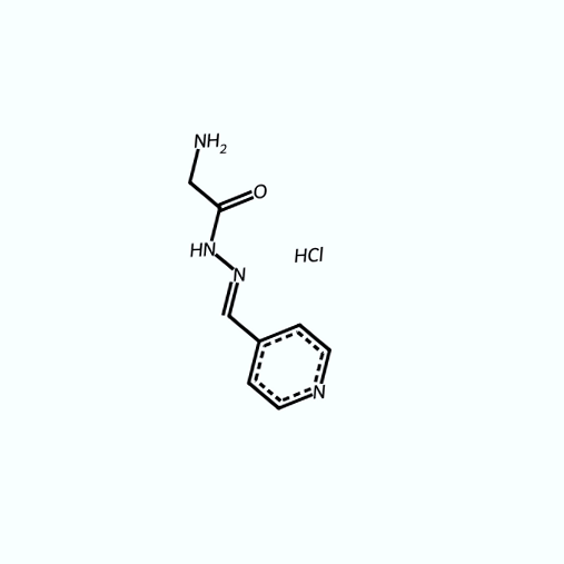 Cl.NCC(=O)NN=Cc1ccncc1